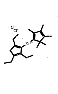 CCC1=C(CC)[C]([Zr+2][C]2=C(C)C(C)=C(C)C2(C)C)=C(CC)C1.[Cl-].[Cl-]